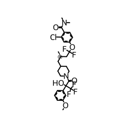 COc1cccc(C(O)(C(=O)N2CCC(C[C@@H](C)CC(F)(F)Oc3ccc(C(=O)N(C)C)c(Cl)c3)CC2)C(F)(F)F)c1